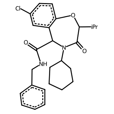 CC(C)C1Oc2ccc(Cl)cc2C(C(=O)NCc2ccccc2)N(C2CCCCC2)C1=O